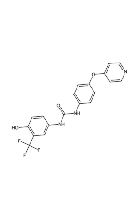 O=C(Nc1ccc(Oc2ccncc2)cc1)Nc1ccc(O)c(C(F)(F)F)c1